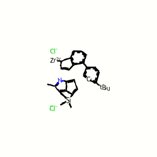 CC(C)(C)c1ccc(-c2cccc3c2C=C[CH]3[Zr+2])cc1.CC1=NC2=CC=C3C2=C1[Si]3(C)C.[Cl-].[Cl-]